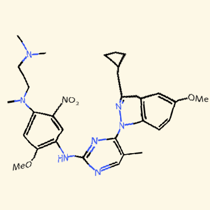 COc1ccc2c(c1)c(C1CC1)nn2-c1nc(Nc2cc([N+](=O)[O-])c(N(C)CCN(C)C)cc2OC)ncc1C